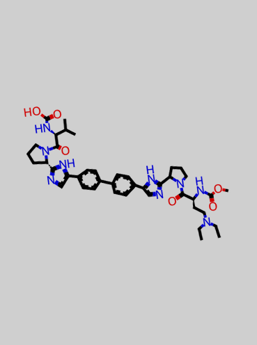 CCN(CC)CC[C@H](NC(=O)OC)C(=O)N1CCCC1c1ncc(-c2ccc(-c3ccc(-c4cnc([C@@H]5CCCN5C(=O)[C@@H](NC(=O)O)C(C)C)[nH]4)cc3)cc2)[nH]1